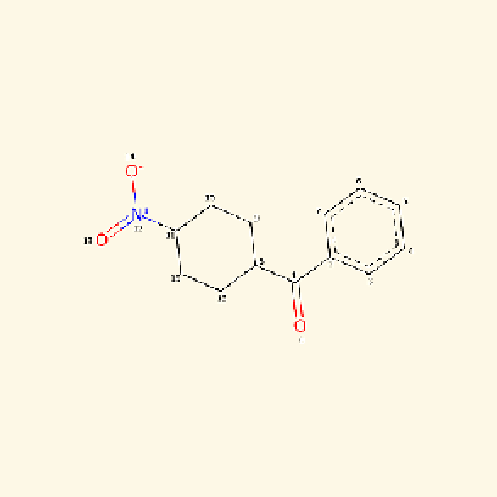 O=C(c1ccccc1)C1CCC([N+](=O)[O-])CC1